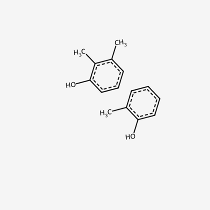 Cc1cccc(O)c1C.Cc1ccccc1O